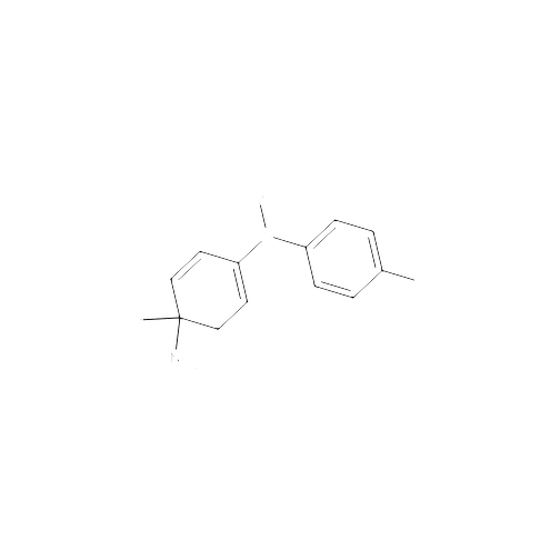 O=[N+]([O-])C1(Cl)C=CC([S+]([O-])c2ccc(Br)cc2)=CC1